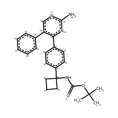 CC(C)(C)OC(=O)NC1(c2ccc(-c3nc(N)ncc3-c3ccccc3)cc2)CCC1